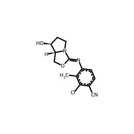 Cc1c(/N=C2\OC[C@@H]3[C@@H](O)CCN23)ccc(C#N)c1Cl